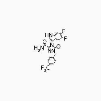 NC(=O)c1nn(Cc2ccc(C(F)(F)F)cc2)c(=O)n1-c1c[nH]c2cc(F)c(F)cc12